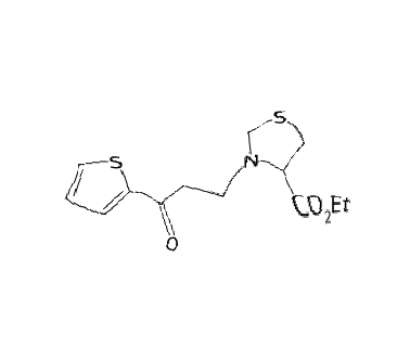 CCOC(=O)C1CSCN1CCC(=O)c1cccs1